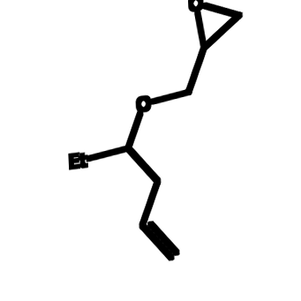 [CH2]CC(CC=C)OCC1CO1